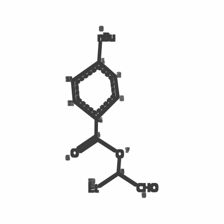 CCCCc1ccc(C(=O)OC(C=O)CC)cc1